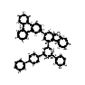 c1ccc(-c2ccc(-c3nc(-c4ccccc4)nc(-c4cc(-c5ccc6c7ccccc7c7ccccc7c6c5)cc5oc6ccccc6c45)n3)cc2)cc1